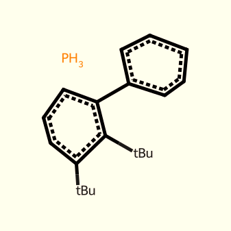 CC(C)(C)c1cccc(-c2ccccc2)c1C(C)(C)C.P